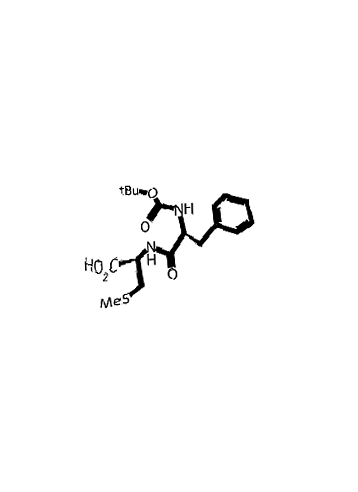 CSC[C@H](NC(=O)[C@H](Cc1ccccc1)NC(=O)OC(C)(C)C)C(=O)O